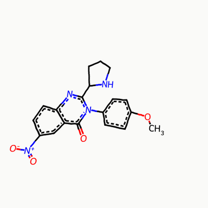 COc1ccc(-n2c(C3CCCN3)nc3ccc([N+](=O)[O-])cc3c2=O)cc1